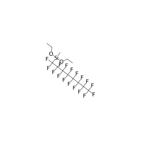 CCO[Si](C)(OCC)C(F)(F)C(F)(F)C(F)(F)C(F)(F)C(F)(F)C(F)(F)C(F)(F)C(F)(F)F